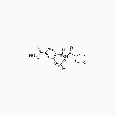 O=C(OO)c1ccc2c(c1)O[C@@H]1C[C@H]2N(C(=O)C2CCOCC2)C1